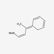 CN/C=C\C(C)=C1\C=CC=CC1